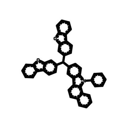 c1ccc(-n2c3ccc(C(c4ccc5c(c4)oc4ccccc45)c4ccc5c(c4)oc4ccccc45)cc3c3ccc4ccccc4c32)cc1